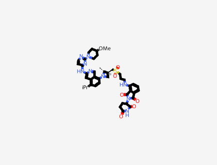 COC1CCN(c2nccc(Nc3cc4c(C(C)C)ccc(N5C[C@H](CS(=O)(=O)CCCNc6cccc7c6C(=O)N(C6CCC(=O)NC6=O)C7=O)[C@H]5C)c4cn3)n2)CC1